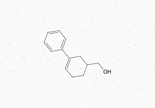 OCC1CCC=C(c2ccccc2)C1